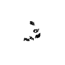 [Cu].[Ni].[Pb].[Sb].[Zn]